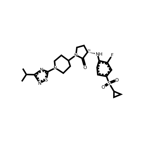 CC(C)c1nsc(N2CCC(N3CC[C@H](Nc4ccc(S(=O)(=O)C5CC5)cc4F)C3=O)CC2)n1